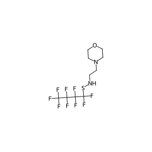 FC(F)(F)C(F)(F)C(F)(F)C(F)(F)SNCCN1CCOCC1